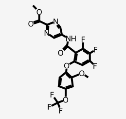 COC(=O)c1ncc(NC(=O)c2c(Oc3ccc(OC(F)(F)F)cc3OC)cc(F)c(F)c2F)cn1